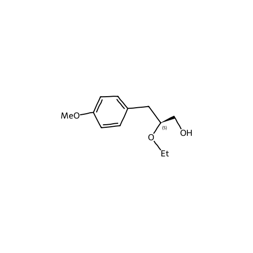 CCO[C@H](CO)Cc1ccc(OC)cc1